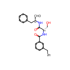 CC(C)Cc1cccc(C(=O)N[C@@H](CO)C(=O)N[C@H](C=O)Cc2ccccc2)c1